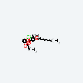 CCCCCCCCCCOc1ccc(C(=O)Oc2ccccc2OC(=O)CCC)c(Cl)c1C